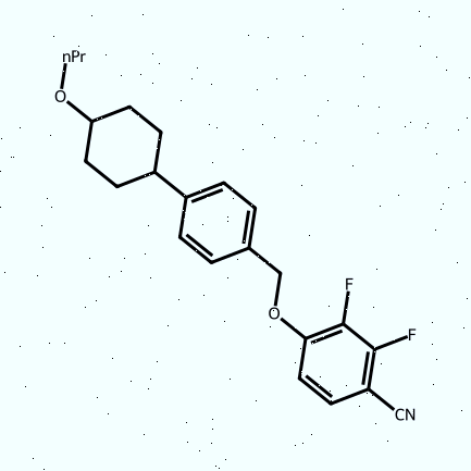 CCCOC1CCC(c2ccc(COc3ccc(C#N)c(F)c3F)cc2)CC1